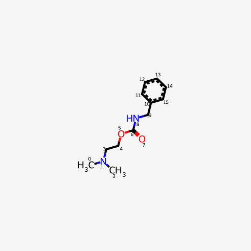 CN(C)CCOC(=O)N[CH]c1ccccc1